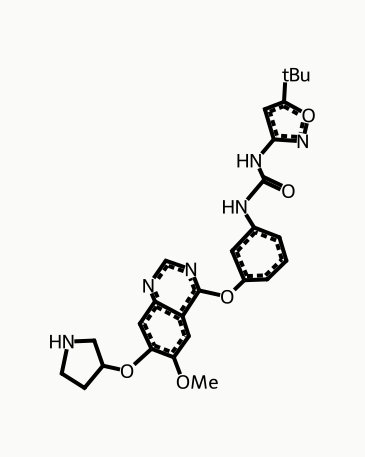 COc1cc2c(Oc3cccc(NC(=O)Nc4cc(C(C)(C)C)on4)c3)ncnc2cc1OC1CCNC1